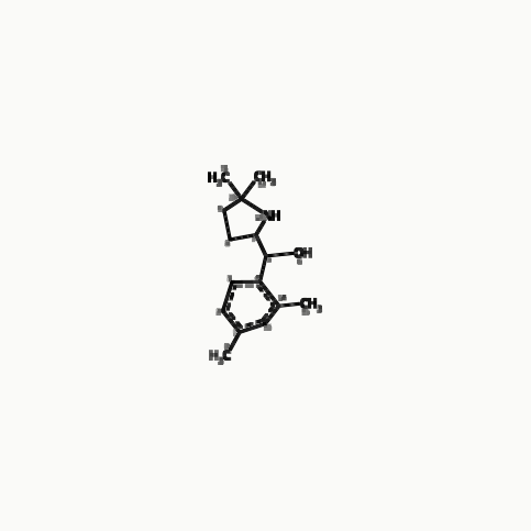 Cc1ccc(C(O)C2CCC(C)(C)N2)c(C)c1